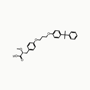 CO[C@@H](Cc1ccc(OCCCOc2ccc(C(C)(C)c3ccccc3)cc2)cc1)C(=O)O